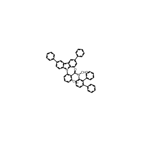 Cc1cccc(-n2c3ccc(-c4ccccc4)cc3c3cc(-c4ccccc4)ccc32)c1C(=O)N(C=O)c1cccc(-c2ccccc2)c1-c1ccccc1